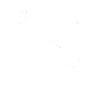 COC(=O)C1=CC(Cl)=C(c2cccc(-c3c(-c4cccc(F)c4C#N)c4cc(F)ccc4n3[S+]([O-])c3ccc(C)cc3)c2)CC1